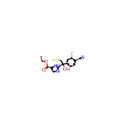 CCOC(=O)c1cnc(C(O)(CS)c2ccc(C#N)c(F)c2)[nH]1